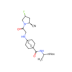 CCCCCCC(C)NC(=O)C12CCC(NCC(=O)N3C[C@@H](F)C[C@H]3C#N)(CC1)CC2